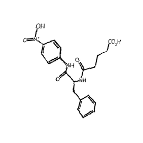 O=C(O)CCCC(=O)N[C@@H](Cc1ccccc1)C(=O)Nc1ccc([N+](=O)O)cc1